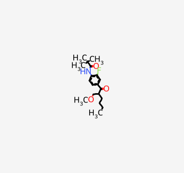 CCCCC(COC)C(=O)c1ccc(NC(=O)C(C)(C)C)c(F)c1